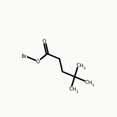 CC(C)(C)CCC(=O)OBr